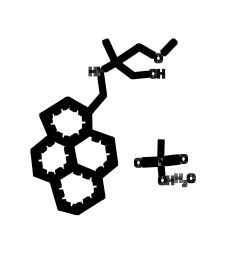 COCC(C)(CO)NCc1ccc2ccc3cccc4ccc1c2c34.CS(=O)(=O)O.O